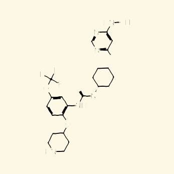 CNc1cc(O[C@H]2CC[C@H](NC(=O)Nc3cc(OC(F)(F)F)ccc3OC3CCNCC3)CC2)ncn1